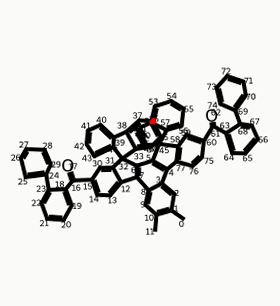 Cc1cc2c3c(c4c(c2cc1C)-c1ccc(C(=O)c2ccccc2-c2ccccc2)cc1C41c2ccccc2-c2ccccc21)C1(c2ccccc2-c2ccccc21)c1cc(C(=O)c2ccccc2-c2ccccc2)ccc1-3